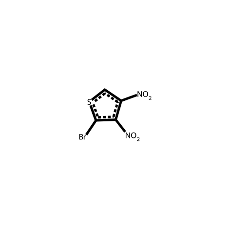 O=[N+]([O-])c1csc(Br)c1[N+](=O)[O-]